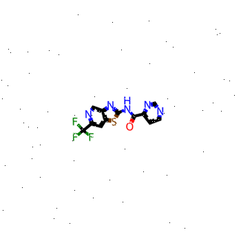 O=C(Nc1nc2cnc(C(F)(F)F)cc2s1)c1ccncn1